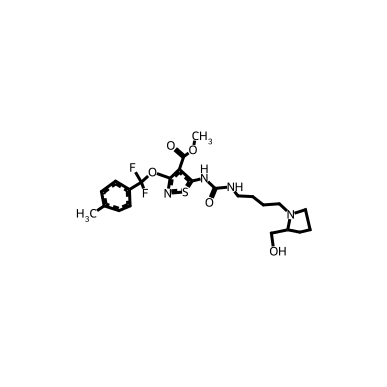 COC(=O)c1c(OC(F)(F)c2ccc(C)cc2)nsc1NC(=O)NCCCCN1CCCC1CO